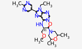 CCn1c(-c2cnc(C)nc2)nc2c(N[C@H](COC)C(=O)N3CC(C)OC(C)C3)ncnc21